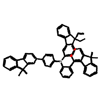 CCC1(CC)c2ccccc2-c2cc(N(c3ccc(-c4ccc5c(c4)C(C)(C)c4ccccc4-5)cc3)c3ccccc3-c3cccc4c3-c3ccccc3C4(C)C)ccc21